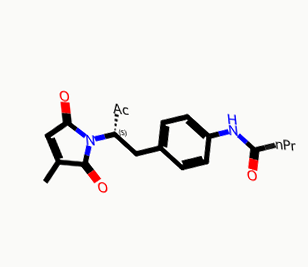 CCCC(=O)Nc1ccc(C[C@@H](C(C)=O)N2C(=O)C=C(C)C2=O)cc1